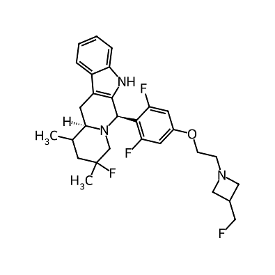 CC1CC(C)(F)CN2[C@H](c3c(F)cc(OCCN4CC(CF)C4)cc3F)c3[nH]c4ccccc4c3C[C@H]12